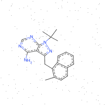 Cc1ccc2ccccc2c1Cc1nn(C(C)(C)C)c2ncnc(N)c12